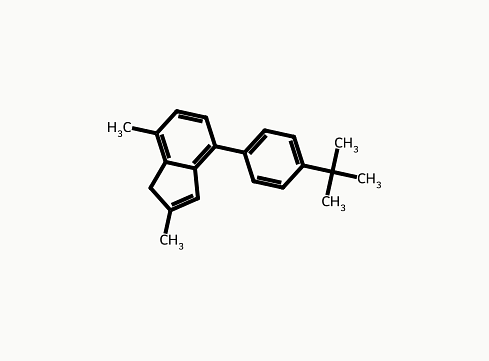 CC1=Cc2c(-c3ccc(C(C)(C)C)cc3)ccc(C)c2C1